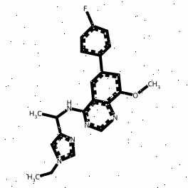 CCn1cnc(C(C)Nc2ncnc3c(OC)cc(-c4ccc(F)cc4)cc23)c1